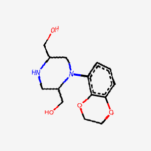 OCC1CN(c2cccc3c2OCCO3)C(CO)CN1